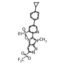 CCS(=O)(=O)c1cc(-c2ccc(C3CC3)cc2)cnc1-c1nc2cc(S(=O)(=O)C(F)(F)F)nnc2n1C